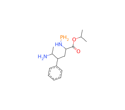 CC(C)OC(=O)C(CC(c1ccccc1)C(C)N)NP